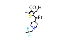 CC[C@@H](c1sc(C)c(C(=O)O)c1C)C1CCN(CC(C)(F)F)CC1